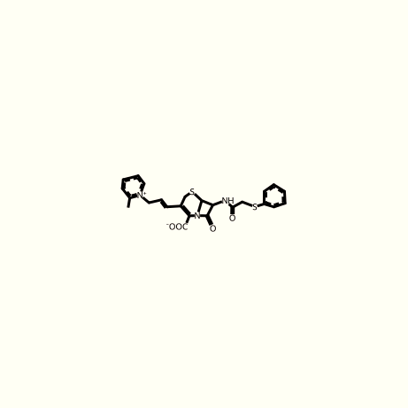 Cc1cccc[n+]1C/C=C/C1=C(C(=O)[O-])N2C(=O)C(NC(=O)CSc3ccccc3)C2SC1